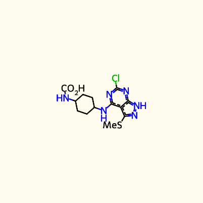 CSc1n[nH]c2nc(Cl)nc(NC3CCC(NC(=O)O)CC3)c12